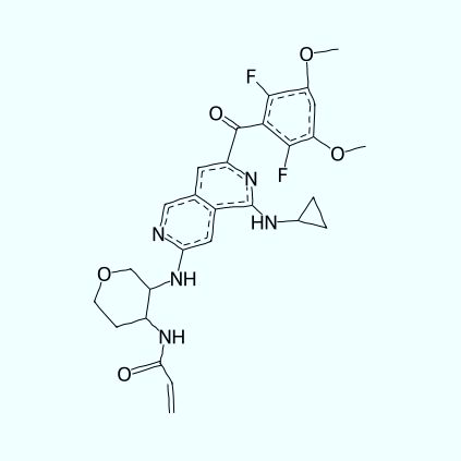 C=CC(=O)NC1CCOCC1Nc1cc2c(NC3CC3)nc(C(=O)c3c(F)c(OC)cc(OC)c3F)cc2cn1